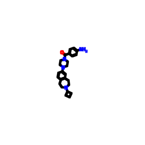 Nc1ccc(C(=O)N2CCN(c3ccc4c(c3)CCN(C3CCC3)CC4)CC2)cc1